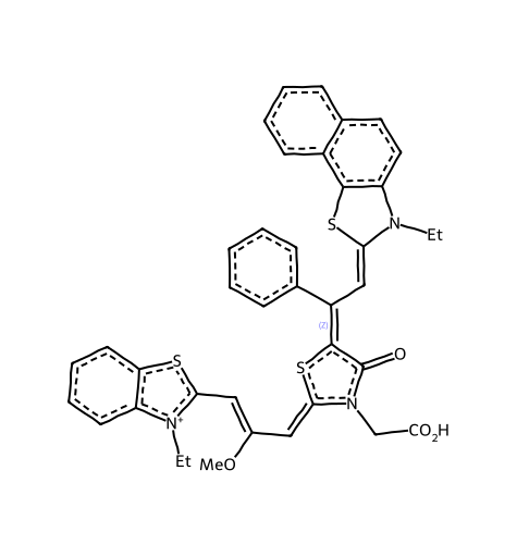 CCN1C(=C/C(c2ccccc2)=c2/sc(=CC(=Cc3sc4ccccc4[n+]3CC)OC)n(CC(=O)O)c2=O)Sc2c1ccc1ccccc21